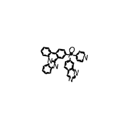 O=P(c1ccncc1)(c1ccc2cncnc2c1)c1ccc2c3ccccc3n3c4ccccc4nc3c2c1